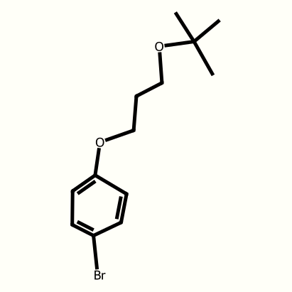 CC(C)(C)OCCCOc1ccc(Br)cc1